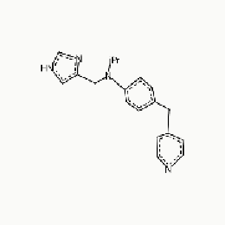 CC(C)N(Cc1c[nH]cn1)c1ccc(Cc2ccncc2)cc1